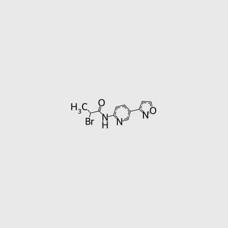 CC(Br)C(=O)Nc1ccc(-c2ccon2)cn1